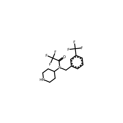 O=C(N(Cc1cccc(C(F)(F)F)c1)C1CCNCC1)C(F)(F)F